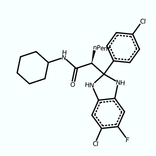 CCCCC[C@H](C(=O)NC1CCCCC1)C1(c2ccc(Cl)cc2)Nc2cc(F)c(Cl)cc2N1